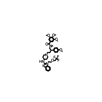 COc1ccc(C(CCN2CCC(Nc3nc4ccccc4n3CCOCC(F)(F)F)CC2)CN(C)C(=O)c2cc(OC)c(OC)c(OC)c2)cc1